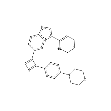 C1=CCNC(c2cnc3ccc(C4=CN=C4c4ccc(N5CCOCC5)cc4)cn23)=C1